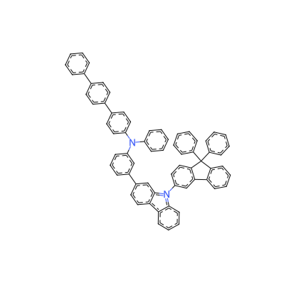 c1ccc(-c2ccc(-c3ccc(N(c4ccccc4)c4cccc(-c5ccc6c7ccccc7n(-c7ccc8c(c7)-c7ccccc7C8(c7ccccc7)c7ccccc7)c6c5)c4)cc3)cc2)cc1